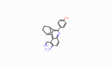 N=Cc1c(N)ccc2nc(-c3ccc(O)cc3)c3c(c12)C1CCC3C1